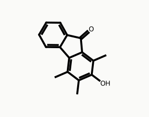 Cc1c(C)c2c(c(C)c1O)C(=O)c1ccccc1-2